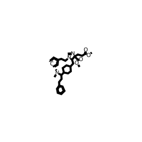 COC(=O)CCC1(C(=O)OC)N=CN(CCc2ccccc2)C1CC1CCC(C(CCc2ccccc2)N(C)C)CC1